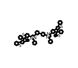 c1ccc(-c2cc(-c3ccc4c(c3)C3(c5ccccc5Sc5ccccc53)c3cc5sc6ccccc6c5cc3-4)nc(-c3ccc(-c4cccc(-c5cc(-c6ccc7c(c6)C6(c8ccccc8S7)c7ccccc7-c7cc8sc9ccccc9c8cc76)nc(-c6ccccc6)n5)c4)cc3)n2)cc1